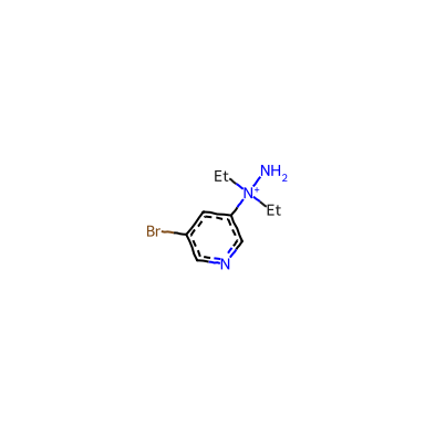 CC[N+](N)(CC)c1cncc(Br)c1